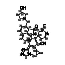 Cn1cnnc1-c1ccc(C2(N3C(=O)c4c(CN5CC[C@H](O)C5)ccc5cccc3c45)C=C(F)N=CC2)c(C#N)c1C1CC1